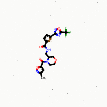 Cc1cc(C(=O)N2CCOCC2CNC(=O)c2ccc(-c3noc(C(F)(F)F)n3)s2)on1